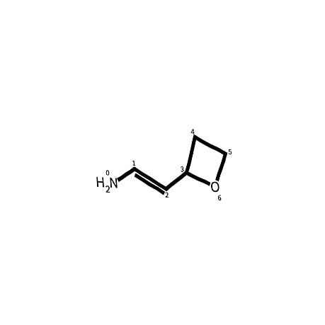 NC=CC1CCO1